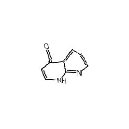 O=c1cc[nH]c2nc[c]cc12